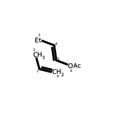 C=CC.CCC=COC(C)=O